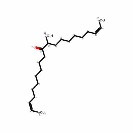 CCCCCCCC/C=C\CCCCCCCC(=O)C(CCCCCC/C=C\CCCCCCCC)C(=O)O